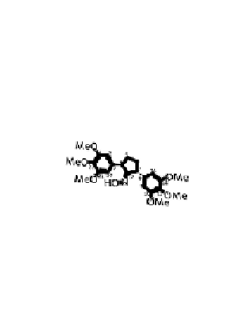 COc1cc([C@H]2CC[C@H](c3cc(OC)c(OC)c(OC)c3)C2=NO)cc(OC)c1OC